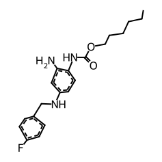 CCCCCCOC(=O)Nc1ccc(NCc2ccc(F)cc2)cc1N